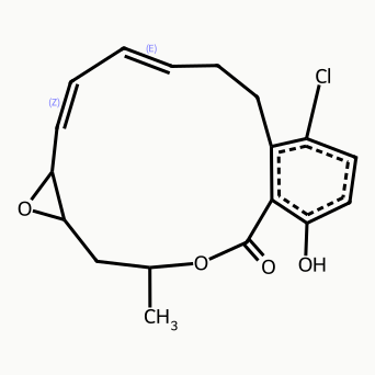 CC1CC2OC2/C=C\C=C\CCc2c(Cl)ccc(O)c2C(=O)O1